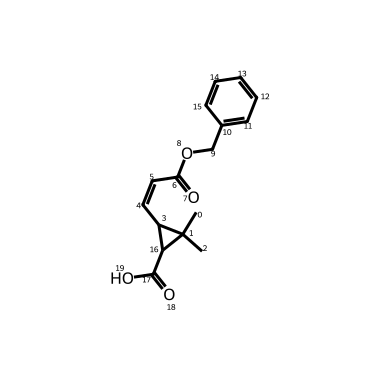 CC1(C)C(/C=C\C(=O)OCc2ccccc2)C1C(=O)O